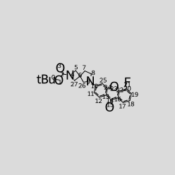 CC(C)(C)OC(=O)N1CC2(CCN(c3ccc4c(=O)c5cccc(F)c5oc4c3)C2)C1